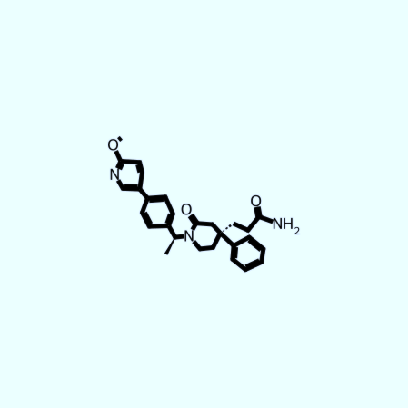 COc1ccc(-c2ccc([C@H](C)N3CC[C@](CCC(N)=O)(c4ccccc4)CC3=O)cc2)cn1